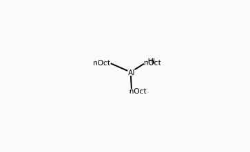 CCCCCCC[CH2][Al]([CH2]CCCCCCC)[CH2]CCCCCCC.I